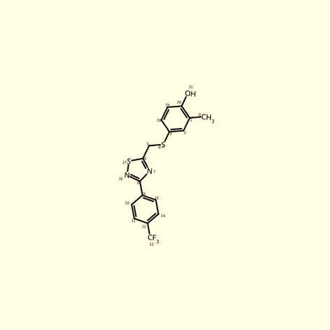 Cc1cc(SCc2nc(-c3ccc(C(F)(F)F)cc3)ns2)ccc1O